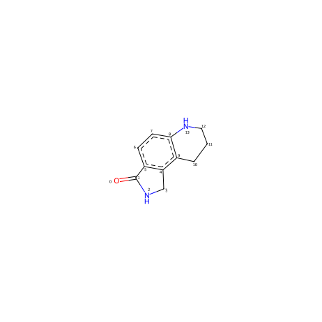 O=C1N[CH]c2c1ccc1c2CCCN1